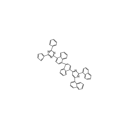 c1ccc(-c2nc(-c3ccccc3)nc(-c3ccc(-c4ccc(-c5cc(-c6cccc7ccccc67)nc(-c6cccc7ccccc67)n5)c5ccccc45)c4ccccc34)n2)cc1